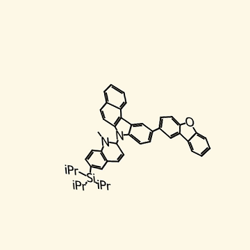 CC(C)[Si](c1ccc2c(c1)C=CC(n1c3ccc(-c4ccc5oc6ccccc6c5c4)cc3c3c4ccccc4ccc31)N2C)(C(C)C)C(C)C